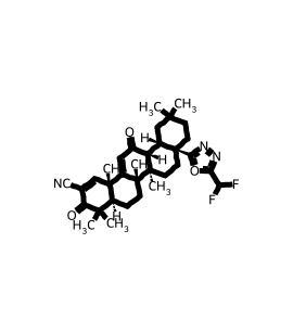 CC1(C)CC[C@]2(c3nnc(C(F)F)o3)CC[C@]3(C)[C@H](C(=O)C=C4[C@@]5(C)C=C(C#N)C(=O)C(C)(C)[C@@H]5CC[C@]43C)[C@@H]2C1